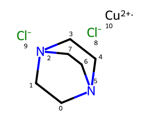 C1CN2CCN1CC2.[Cl-].[Cl-].[Cu+2]